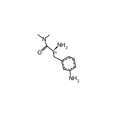 CN(C)C(=O)[C@@H](N)Cc1cccc(N)c1